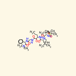 CCCC(NC(=O)[C@@H]1C2[C@H](CN1C(=O)[C@@H](NS(=O)(=O)C(C)C)C(C)(C)C)C2(C)C)C(=O)C(=O)NCC(=O)N[C@H](C(=O)N(C)C)c1ccccc1